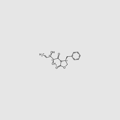 C=C[C@@H](O)[C@H](C)C(=O)N1C(=O)OC[C@@H]1Cc1ccccc1